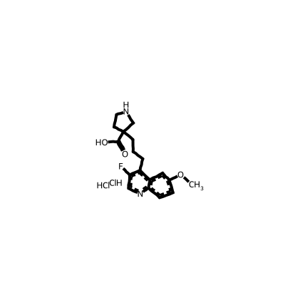 COc1ccc2ncc(F)c(CCCC3(C(=O)O)CCNC3)c2c1.Cl.Cl